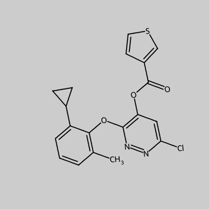 Cc1cccc(C2CC2)c1Oc1nnc(Cl)cc1OC(=O)c1ccsc1